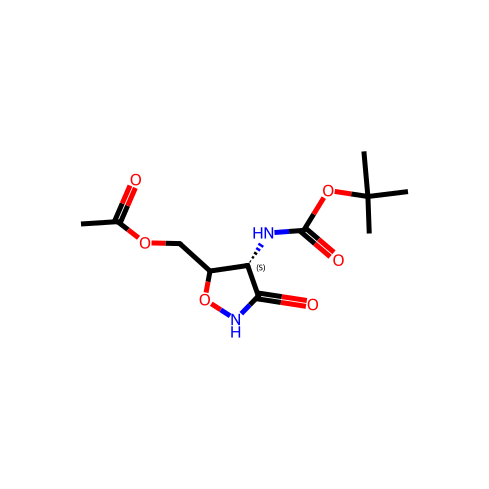 CC(=O)OCC1ONC(=O)[C@H]1NC(=O)OC(C)(C)C